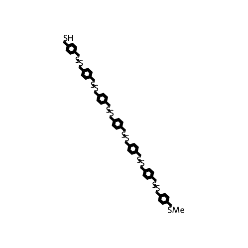 CSCc1ccc(CSSCc2ccc(CSSCc3ccc(CSSCc4ccc(CSSCc5ccc(CSSCc6ccc(CSSCc7ccc(CS)cc7)cc6)cc5)cc4)cc3)cc2)cc1